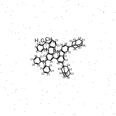 CC1(C)c2ccccc2N2c3cc(N(c4ccccc4)c4ccccc4)cc4c3B(c3cccc1c32)n1c2ccc(C35CC6CC(CC(C6)C3)C5)cc2c2cc(C35CC6CC(CC(C6)C3)C5)cc-4c21